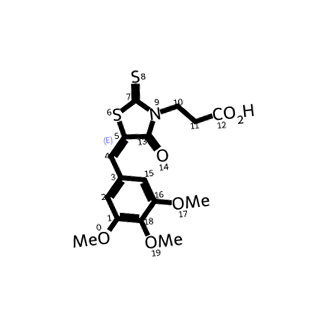 COc1cc(/C=C2/SC(=S)N(CCC(=O)O)C2=O)cc(OC)c1OC